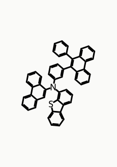 c1ccc(-c2c(-c3cccc(N(c4cc5ccccc5c5ccccc45)c4cccc5c4sc4ccccc45)c3)c3ccccc3c3ccccc23)cc1